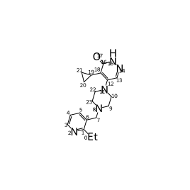 CCc1ncccc1CN1CCN(c2cn[nH]c(=O)c2C2CC2)CC1